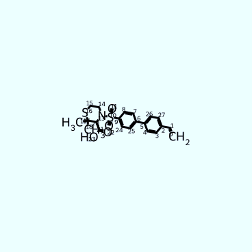 C=Cc1ccc(-c2ccc(S(=O)(=O)N3CCSC(C)(C)C3C(=O)O)cc2)cc1